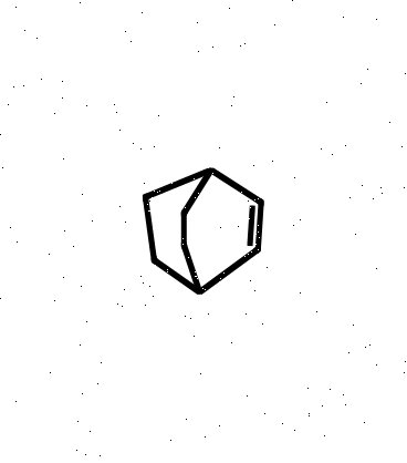 C1=CC2CCC1CC2